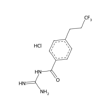 Cl.N=C(N)NC(=O)c1ccc(CCC(F)(F)F)cc1